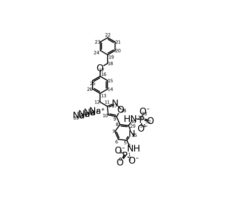 O=P([O-])([O-])Nc1ccc(-c2cc(Cc3ccc(OCc4ccccc4)cc3)no2)c(NP(=O)([O-])[O-])n1.[Na+].[Na+].[Na+].[Na+]